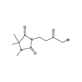 CN1C(=O)N(CCC(=O)CBr)C(=O)C1(C)C